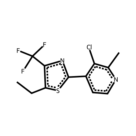 CCc1sc(-c2ccnc(C)c2Cl)nc1C(F)(F)F